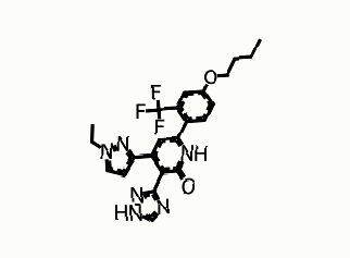 CCCCOc1ccc(-c2cc(-c3ccn(CC)n3)c(-c3nc[nH]n3)c(=O)[nH]2)c(C(F)(F)F)c1